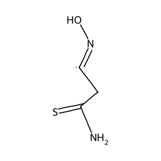 NC(=S)C/[C]=N/O